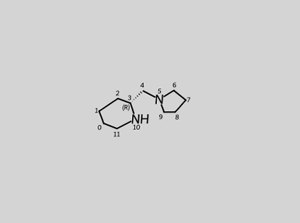 C1CC[C@H](CN2CCCC2)NC1